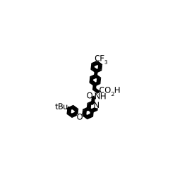 CC(C)(C)c1ccc(Oc2ccc3cnc(C(=O)N[C@@H](Cc4ccc(-c5ccc(C(F)(F)F)cc5)cc4)C(=O)O)cc3c2)cc1